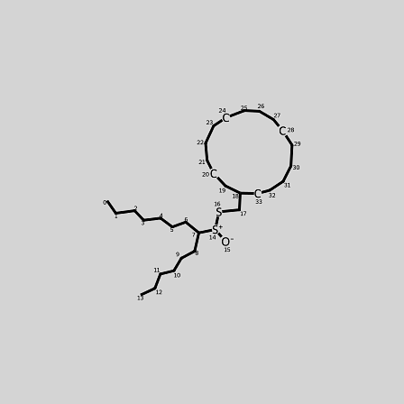 CCCCCCCC(CCCCCC)[S+]([O-])SCC1CCCCCCCCCCCCCCC1